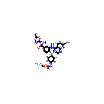 Cc1nnc(NC(=O)c2ccc(Sc3ccc(NC(=O)OCC(Cl)(Cl)Cl)cc3)c(Nc3ncnc4nc(C(C)C)ccc34)c2)s1